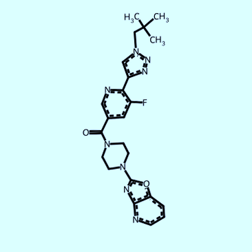 CC(C)(C)Cn1cc(-c2ncc(C(=O)N3CCN(c4nc5ncccc5o4)CC3)cc2F)nn1